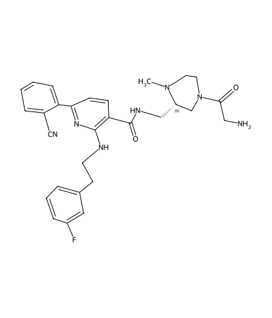 CN1CCN(C(=O)CN)C[C@@H]1CNC(=O)c1ccc(-c2ccccc2C#N)nc1NCCc1cccc(F)c1